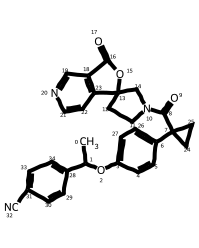 CC(Oc1ccc(C2(C(=O)N3CCC4(C3)OC(=O)c3cnccc34)CC2)cc1)c1ccc(C#N)cc1